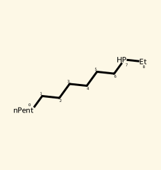 CCCCCCCCCCCPCC